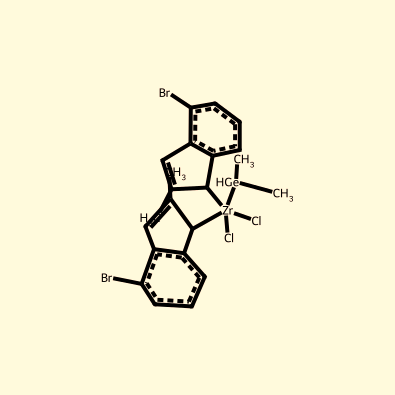 CC1=Cc2c(Br)cccc2[CH]1[Zr]([Cl])([Cl])([CH]1C(C)=Cc2c(Br)cccc21)[GeH]([CH3])[CH3]